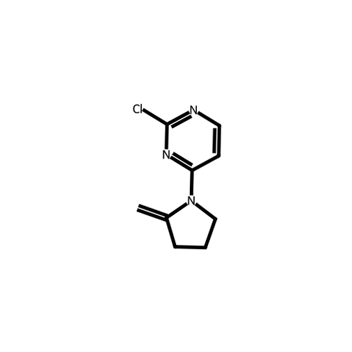 C=C1CCCN1c1ccnc(Cl)n1